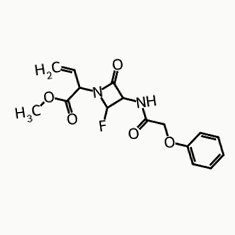 C=CC(C(=O)OC)N1C(=O)C(NC(=O)COc2ccccc2)C1F